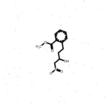 COC(=O)c1ccccc1CCC(O)C[N+](=O)[O-]